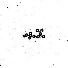 c1ccc(-c2nc3ccc(-c4ccc(-c5c6ccccc6c(-c6ccc7ccccc7c6)c6ccccc56)cc4)cc3c3cc4c(cc23)c2ccccc2n4-c2ccccc2)cc1